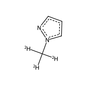 [2H]C([2H])([2H])n1cccn1